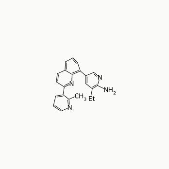 CCc1cc(-c2cccc3ccc(-c4cccnc4C)nc23)cnc1N